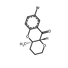 C[C@@]12CCCO[C@H]1C(=O)c1cc(Br)ccc1O2